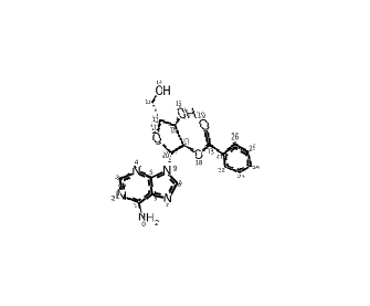 Nc1ncnc2c1ncn2[C@@H]1O[C@H](CO)[C@@H](O)[C@H]1OC(=O)c1ccccc1